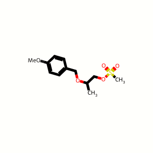 COc1ccc(COC(C)COS(C)(=O)=O)cc1